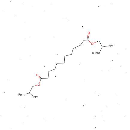 CCCCCC(CCC)COC(=O)CCCCCCCCCCC(=O)OCC(CCC)CCCCC